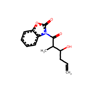 C=CCC(O)C(C)C(=O)n1c(=O)oc2ccccc21